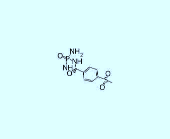 CS(=O)(=O)c1ccc(C(=O)NP(N)(N)=O)cc1